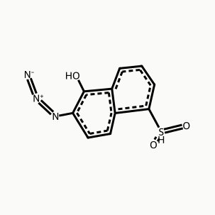 [N-]=[N+]=Nc1ccc2c([SH](=O)=O)cccc2c1O